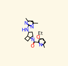 CCOc1ccc(C)nc1C(=O)N1C2CC(Nc3nc(C)cc(C)n3)C3CCC321